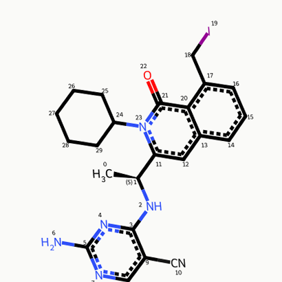 C[C@H](Nc1nc(N)ncc1C#N)c1cc2cccc(CI)c2c(=O)n1C1CCCCC1